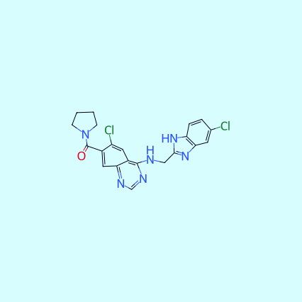 O=C(c1cc2ncnc(NCc3nc4cc(Cl)ccc4[nH]3)c2cc1Cl)N1CCCC1